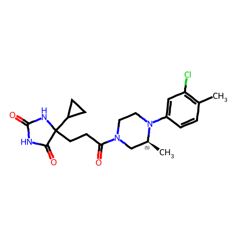 Cc1ccc(N2CCN(C(=O)CCC3(C4CC4)NC(=O)NC3=O)C[C@@H]2C)cc1Cl